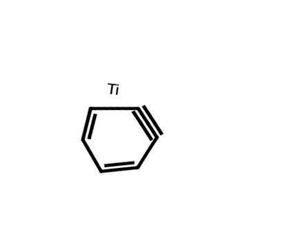 [Ti].c1ccccc#1